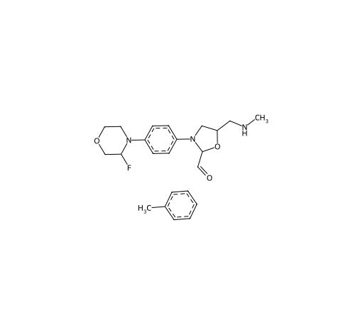 CNCC1CN(c2ccc(N3CCOCC3F)cc2)C(C=O)O1.Cc1ccccc1